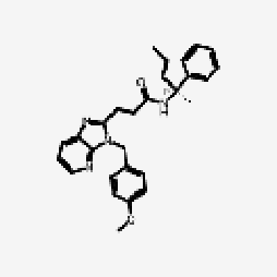 CCC[C@](C)(NC(=O)CCc1nc2cccnc2n1Cc1ccc(OC)cc1)c1ccccc1